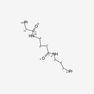 CC(C)CCCNC(=O)CCCNC(=O)CC(C)C